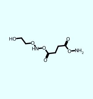 NOC(=O)CCC(=O)ONOCCO